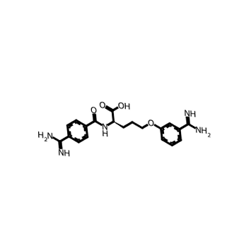 N=C(N)c1ccc(C(=O)N[C@H](CCCOc2cccc(C(=N)N)c2)C(=O)O)cc1